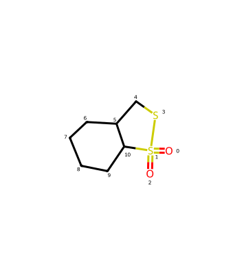 O=S1(=O)SCC2CCCCC21